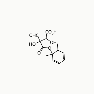 CC1C=CC=CC1(C)OC(=O)C(O)(C=O)C(O)C(=O)O